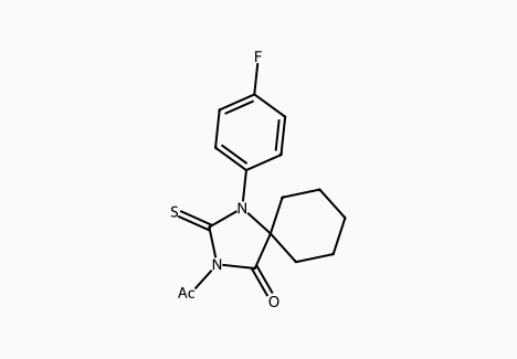 CC(=O)N1C(=O)C2(CCCCC2)N(c2ccc(F)cc2)C1=S